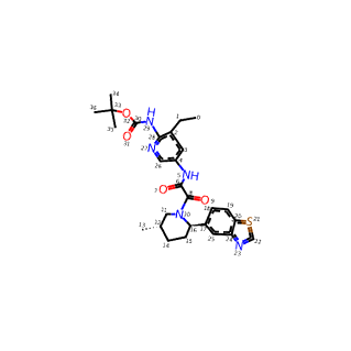 CCc1cc(NC(=O)C(=O)N2C[C@@H](C)CC[C@@H]2c2ccc3scnc3c2)cnc1NC(=O)OC(C)(C)C